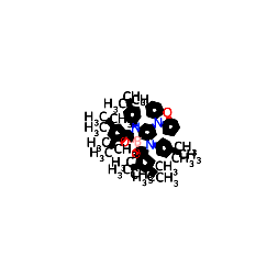 CC(C)(C)c1ccc(N2c3cc(N4c5ccccc5Oc5ccccc54)cc4c3B(c3oc5c(C(C)(C)C)cc(C(C)(C)C)cc5c32)c2oc3c(C(C)(C)C)cc(C(C)(C)C)cc3c2N4c2ccc(C(C)(C)C)cc2)cc1